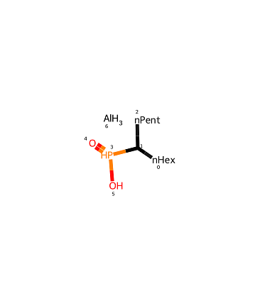 CCCCCCC(CCCCC)[PH](=O)O.[AlH3]